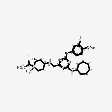 COc1ccc(Nc2nc(CNC3CC[N+](C)(C(C(=O)[O-])C(=O)O)CC3)nc(NC3CCCCCC3)n2)cc1Cl